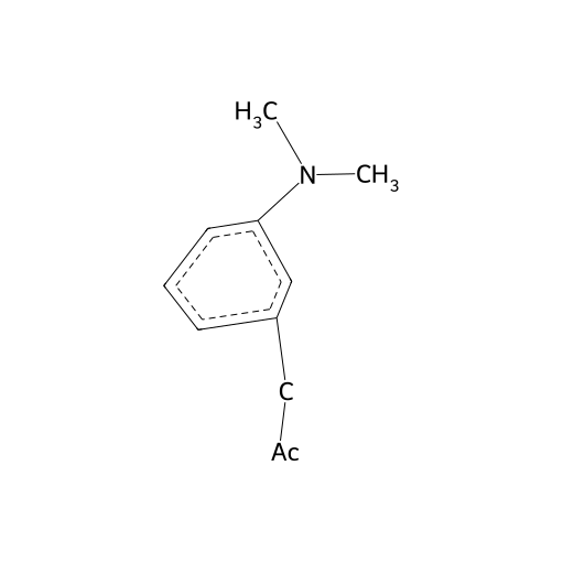 CC(=O)Cc1cccc(N(C)C)c1